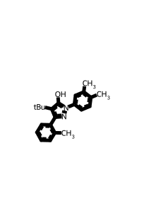 Cc1ccc(-n2nc(-c3ccccc3C)c(C(C)(C)C)c2O)cc1C